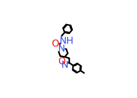 Cc1ccc(C2=NOC3(CCN(C(=O)NCc4ccccc4)CC3)C2)cc1